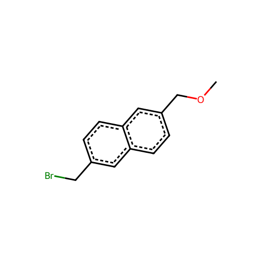 COCc1ccc2cc(CBr)ccc2c1